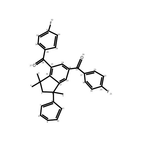 CC1(C)CC(C)(c2ccccc2)c2cc(C(=O)c3ccc(F)cc3)cc(C(=O)c3ccc(F)cc3)c21